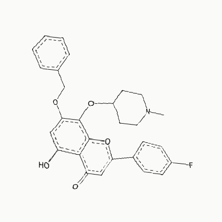 CN1CCC(Oc2c(OCc3ccccc3)cc(O)c3c(=O)cc(-c4ccc(F)cc4)oc23)CC1